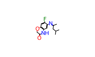 CC(CC(C)C)=Nc1cc2c(cc1F)OCC(=O)N2